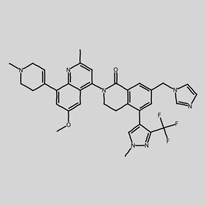 COc1cc(C2=CCN(C)CC2)c2nc(C)cc(N3CCc4c(cc(Cn5ccnc5)cc4-c4cn(C)nc4C(F)(F)F)C3=O)c2c1